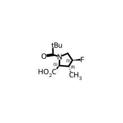 C[C@H]1[C@H](F)CN(C(=O)C(C)(C)C)[C@@H]1C(=O)O